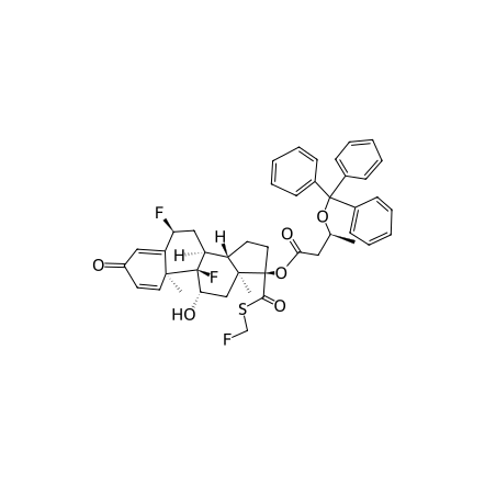 C[C@@H](CC(=O)O[C@]1(C(=O)SCF)CC[C@H]2[C@@H]3C[C@H](F)C4=CC(=O)C=C[C@]4(C)[C@@]3(F)[C@@H](O)C[C@@]21C)OC(c1ccccc1)(c1ccccc1)c1ccccc1